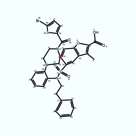 Cc1c(C(=O)O)oc2ccc(S(=O)(=O)N(CCc3ccccc3)c3ccccc3N3CCN(C(=O)c4ccc(Br)s4)CC3)cc12